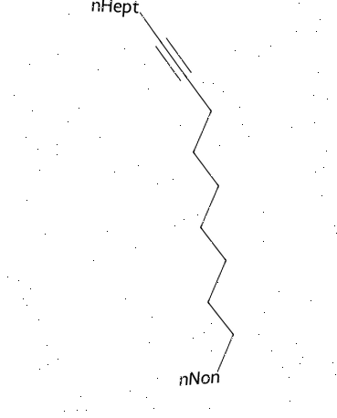 [CH2]CCCCCCC#CCCCCCCCCCCCCCCC[CH2]